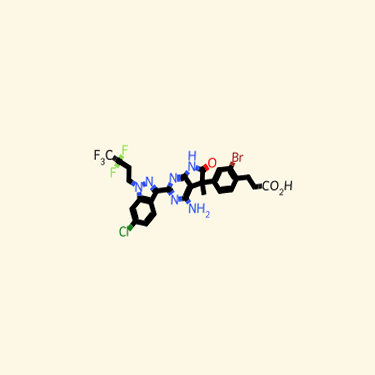 CC1(c2ccc(CCC(=O)O)c(Br)c2)C(=O)Nc2nc(-c3nn(CCC(F)(F)C(F)(F)F)c4cc(Cl)ccc34)nc(N)c21